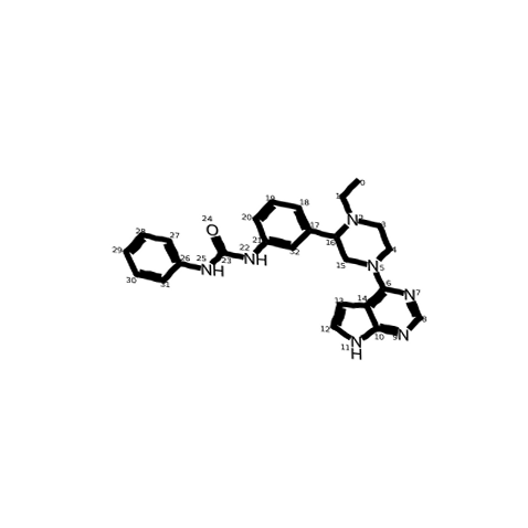 CCN1CCN(c2ncnc3[nH]ccc23)CC1c1cccc(NC(=O)Nc2ccccc2)c1